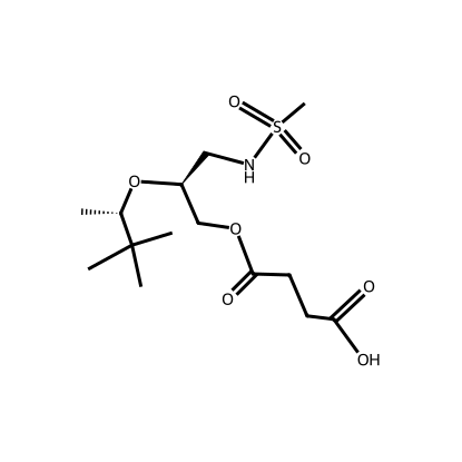 C[C@H](O[C@@H](CNS(C)(=O)=O)COC(=O)CCC(=O)O)C(C)(C)C